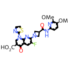 COc1ccc(NC(=O)C2CN(c3nc4c(cc3F)c(=O)c(C(=O)O)cn4-c3nccs3)C2)nc1OC